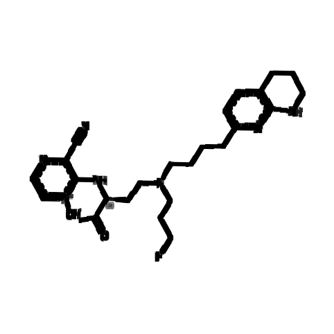 CC(=O)[C@H](CCN(CCCF)CCCCc1ccc2c(n1)NCCC2)Nc1c(C#N)ncc[n+]1O